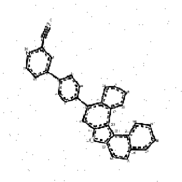 N#Cc1cc(-c2ccc(-c3cc4oc5ccc6ccccc6c5c4c4ccccc34)cc2)ccn1